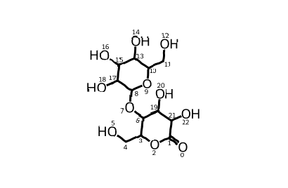 O=C1OC(CO)C(OC2OC(CO)C(O)C(O)C2O)C(O)C1O